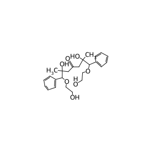 CC(O)(CC(=O)CC(C)(O)C(OCCO)c1ccccc1)C(OCCO)c1ccccc1